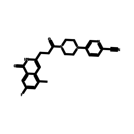 Cc1cc(F)cc2c(=O)[nH]c(CCC(=O)N3CCN(c4ccc(C#N)nc4)CC3)cc12